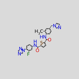 Cc1cc(Cn2ccnc2)ccc1NC(=O)c1ccc(C(=O)Nc2ccc(-n3cncn3)c(F)c2)s1